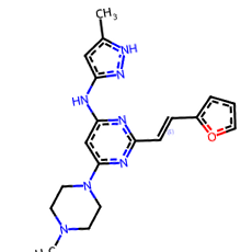 Cc1cc(Nc2cc(N3CCN(C)CC3)nc(/C=C/c3ccco3)n2)n[nH]1